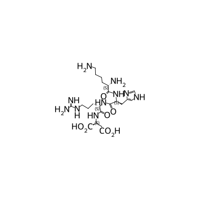 N=C(N)NCCC[C@H](NC(=O)[C@H](Cc1c[nH]cn1)NC(=O)[C@@H](N)CCCCN)C(=O)N[C@@H](CC(=O)O)C(=O)O